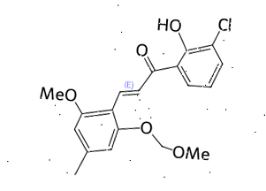 COCOc1cc(C)cc(OC)c1/C=C/C(=O)c1cccc(Cl)c1O